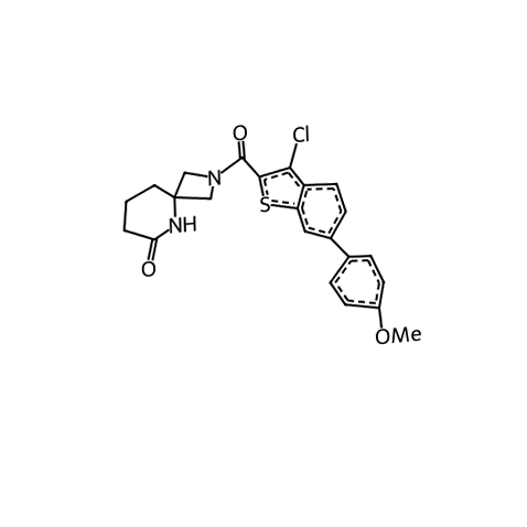 COc1ccc(-c2ccc3c(Cl)c(C(=O)N4CC5(CCCC(=O)N5)C4)sc3c2)cc1